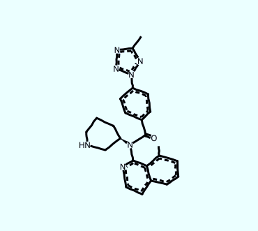 Cc1nnn(-c2ccc(C(=O)N(c3nccc4cccc(C)c34)[C@@H]3CCCNC3)cc2)n1